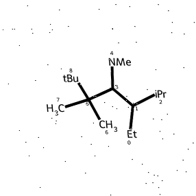 CCC(C(C)C)C(NC)C(C)(C)C(C)(C)C